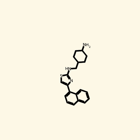 NC1CCC(CNc2nc(-c3cccc4ccccc34)cs2)CC1